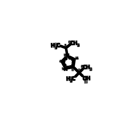 CC(C)n1cnc(C(C)(C)O)c1